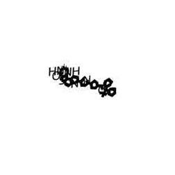 C[C@@H]1CNc2c(sc3ccc4nc(-c5ccc(C6CCC(CO[Si](c7ccccc7)(c7ccccc7)C(C)(C)C)CC6)nc5)ccc4c23)C(=O)N1